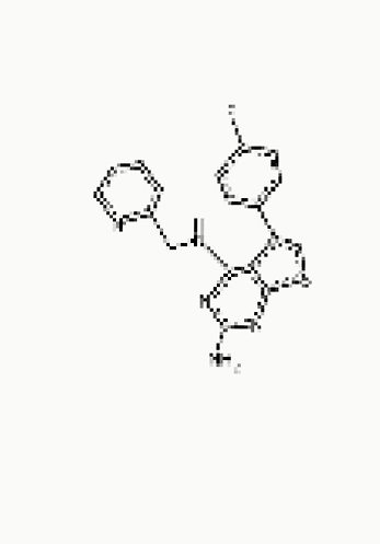 Nc1nc(NCc2ccccn2)c2c(-c3ccc(F)cc3)csc2n1